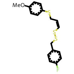 COc1ccc(SC/C=C\SSCc2ccc(F)cc2)cc1